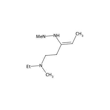 C/C=C(/CCN(C)CC)NNC